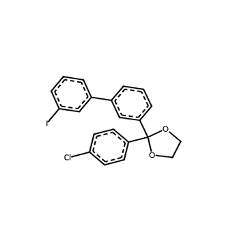 Clc1ccc(C2(c3cccc(-c4cccc(I)c4)c3)OCCO2)cc1